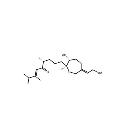 C/C(=C\C(=O)[C@H](C)CCC[C@]1(C)OC/C(=C/CO)CC[C@H]1O)C(C)C